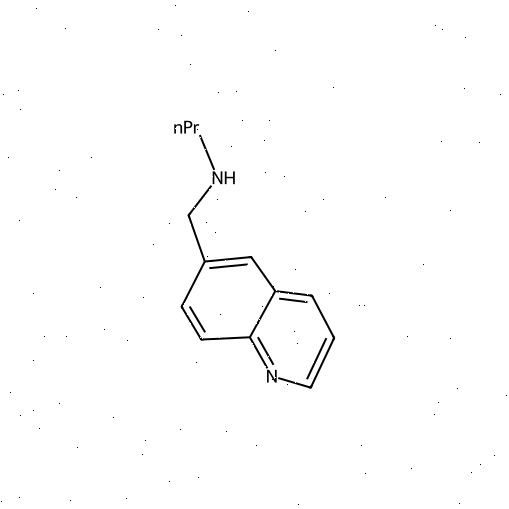 CCCNCc1ccc2ncccc2c1